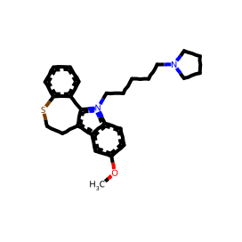 COc1ccc2c(c1)c1c(n2CCCCCN2CCCC2)-c2ccccc2SCC1